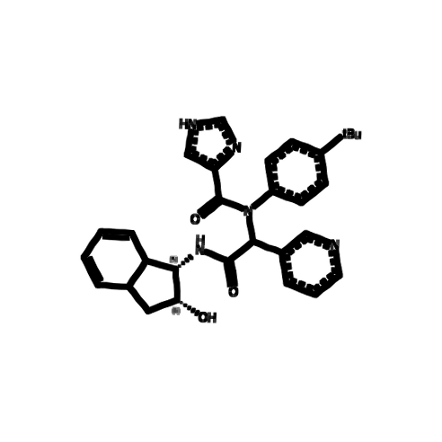 CC(C)(C)c1ccc(N(C(=O)c2c[nH]cn2)C(C(=O)N[C@H]2C3C=CC=CC3C[C@H]2O)c2cccnc2)cc1